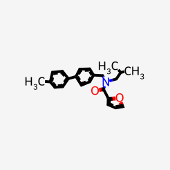 Cc1ccc(-c2ccc(CN(CC(C)C)C(=O)c3ccco3)cc2)cc1